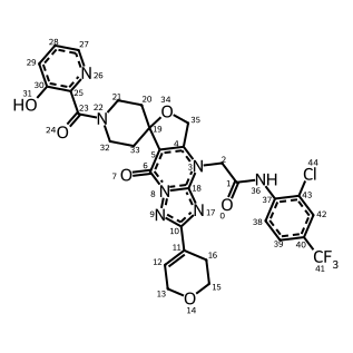 O=C(Cn1c2c(c(=O)n3nc(C4=CCOCC4)nc13)C1(CCN(C(=O)c3ncccc3O)CC1)OC2)Nc1ccc(C(F)(F)F)cc1Cl